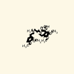 COc1ccc(CCN(C)CCCN2CCc3cc(OC)c(OC)cc3C(=NO)C2=O)cc1OC